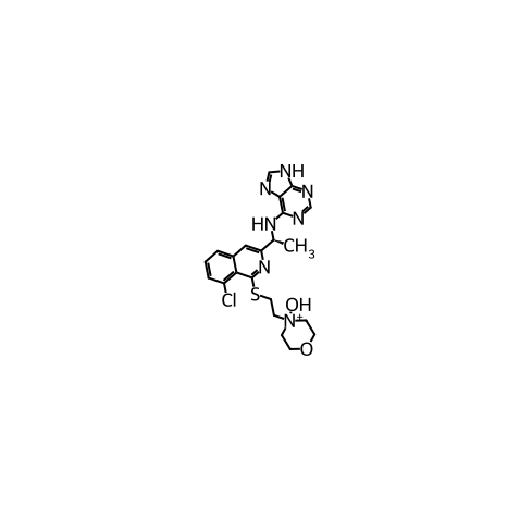 C[C@H](Nc1ncnc2[nH]cnc12)c1cc2cccc(Cl)c2c(SCC[N+]2(O)CCOCC2)n1